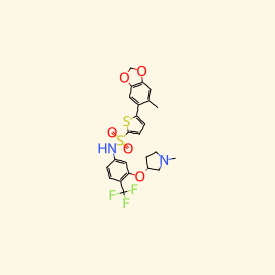 Cc1cc2c(cc1-c1ccc(S(=O)(=O)Nc3ccc(C(F)(F)F)c(O[C@@H]4CCN(C)C4)c3)s1)OCO2